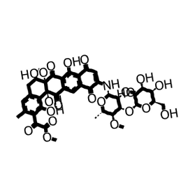 COC(=O)C(=O)c1c(C)cc2c(c1O)[C@]1(O)C(=O)c3cc4c(c(O)c3C(=O)[C@]1(OC)[C@H](O)C2)C(=O)C=C(N[C@H]1O[C@@H](C)[C@H](OC)[C@@H](O[C@@H]2O[C@H](CO)[C@@H](O)[C@H](O)[C@H]2O)[C@H]1OC)C4=O